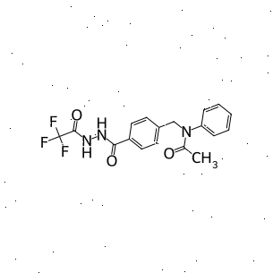 CC(=O)N(Cc1ccc(C(=O)NNC(=O)C(F)(F)F)cc1)c1ccccc1